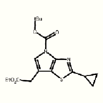 CCOC(=O)Cc1cn(C(=O)OC(C)(C)C)c2nc(C3CC3)sc12